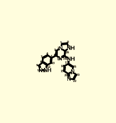 C1=CN2C=C(c3ccc4cn[nH]c4c3)N=C(Nc3ccc4nccn4c3)C2N1